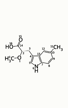 CO[C@@H](Cc1c[nH]c2ccc(C)cc12)C(=O)O